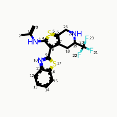 C=C(C)Nc1sc2c(c1-c1nc3ccccc3s1)CC(C(F)(F)F)NC2